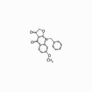 COc1ccc2c(=O)c3c(n(Cc4ccccc4)c2c1)OCC3=O